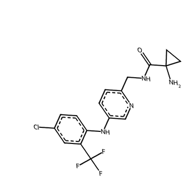 NC1(C(=O)NCc2ccc(Nc3ccc(Cl)cc3C(F)(F)F)cn2)CC1